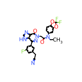 CCN(C(=O)Cn1nc(-c2cc(F)cc(CC#N)c2)c2[nH]cnc2c1=O)c1ccc2c(c1)OC(F)(F)O2